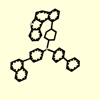 c1ccc(-c2ccc(N(c3ccc(-c4cccc5ccccc45)cc3)C3CCC(c4cccc5ccc6oc7ccccc7c6c45)CC3)cc2)cc1